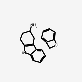 NC1CCc2[nH]c3ccccc3c2C1.c1ccc2c(c1)CO2